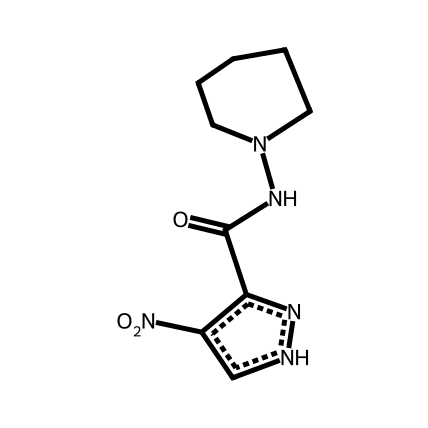 O=C(NN1CCCCC1)c1n[nH]cc1[N+](=O)[O-]